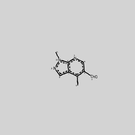 Cc1c(C=O)cnc2c1cnn2C